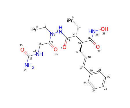 CC(C)C[C@@H](C(=O)NN(CC(C)C)C(=O)CNC(N)=O)[C@H](CC=Cc1ccccc1)C(=O)NO